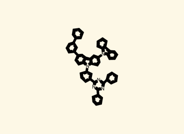 c1ccc(-c2cccc(-c3ccc4c(c3)c3cc(-n5c6ccccc6c6ccccc65)ccc3n4-c3cccc(-c4nc(-c5ccccc5)nc(-c5ccccc5)n4)c3)c2)cc1